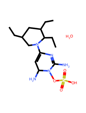 CCC1CC(CC)C(CC)N(C2=CC(N)N(OS(=O)(=O)O)C(N)=N2)C1.O